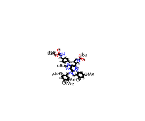 CCCCc1nc2c(N(Cc3ccc(OC)cc3OC)Cc3ccc(OC)cc3OC)nnc(C3CCN(C(=O)OC(C)(C)C)C3)c2n1Cc1ccc(CNC(=O)OC(C)(C)C)cc1